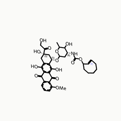 COc1cccc2c1C(=O)c1c(O)c3c(c(O)c1C2=O)C[C@@](O)(C(=O)CO)C[C@@H]3OC1C[C@@H](NC(=O)OC2/C=C/CCCCC2)C(O)C(C)O1